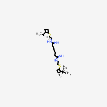 CC(C)C1CCC1SCCNC(=N)CCCCCC(=N)NCCSC1CCC1C(C)(C)C